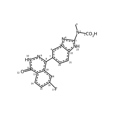 CN(C(=O)O)c1nc2cc(-c3n[nH]c(=O)c4ccc(F)cc34)ccc2[nH]1